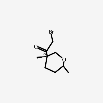 CC1CC[C@](C)(C(=O)CBr)CO1